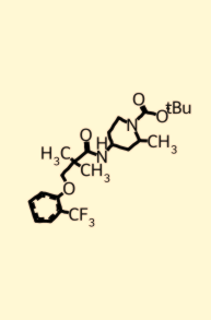 CC1CC(NC(=O)C(C)(C)COc2ccccc2C(F)(F)F)CCN1C(=O)OC(C)(C)C